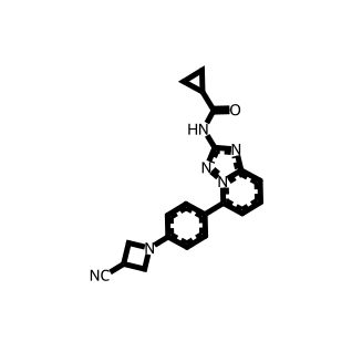 N#CC1CN(c2ccc(-c3cccc4nc(NC(=O)C5CC5)nn34)cc2)C1